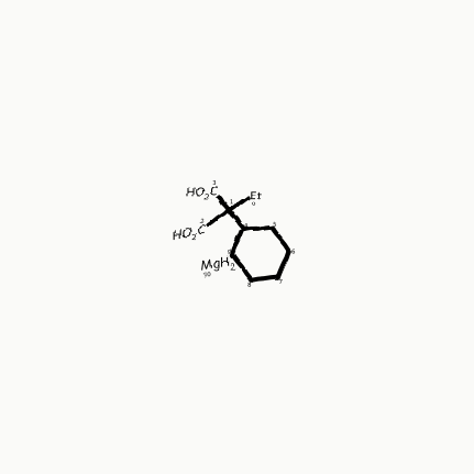 CCC(C(=O)O)(C(=O)O)C1CCCCC1.[MgH2]